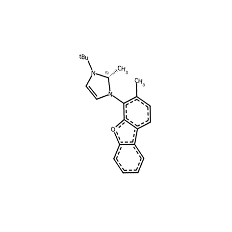 Cc1ccc2c(oc3ccccc32)c1N1C=CN(C(C)(C)C)[C@@H]1C